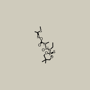 CCN([S+]([O-])N(C)C(=O)ON=C(C)SC)P1(=S)OCC(C)(C)CO1